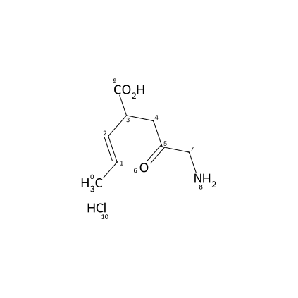 CC=CC(CC(=O)CN)C(=O)O.Cl